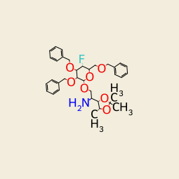 C[C@H]1OC(C)(C)O[C@H]1[C@@H](N)CO[C@H]1OC(COCc2ccccc2)[C@@H](F)C(OCc2ccccc2)C1OCc1ccccc1